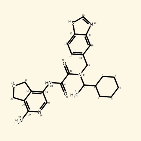 CC(C1CCCCC1)N(Cc1ccc2scnc2c1)C(=O)C(=O)Nc1cnc(N)c2c1COC2